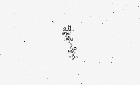 O=C(CSCC(=O)NCC1CCC1)NCCN1CCNC(=O)C1=O